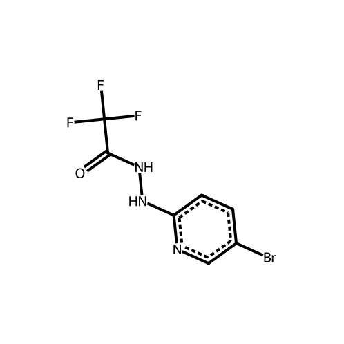 O=C(NNc1ccc(Br)cn1)C(F)(F)F